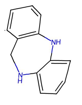 [c]1cccc2c1CNc1ccccc1N2